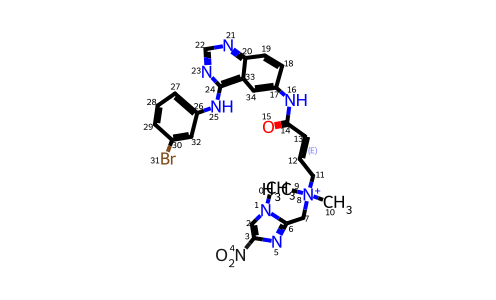 Cn1cc([N+](=O)[O-])nc1C[N+](C)(C)C/C=C/C(=O)Nc1ccc2ncnc(Nc3cccc(Br)c3)c2c1